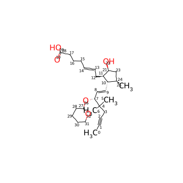 CC#CCC(C)(C)[C@@H](C=C[C@@H]1[C@@H](CC=CCCCC(=O)O)[C@@H](O)C[C@H]1C)OC1CCCCO1